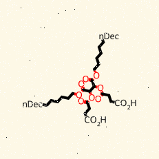 CCCCCCCCCCCCCCCCOC(=O)C(OC(=O)CCC(=O)O)C(OC(=O)CCC(=O)O)C(=O)OCCCCCCCCCCCCCCCC